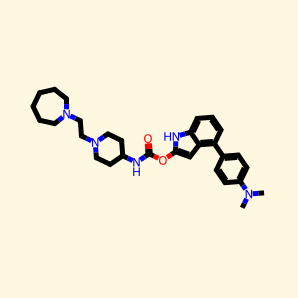 CN(C)c1ccc(-c2cccc3[nH]c(OC(=O)NC4CCN(CCN5CCCCCC5)CC4)cc23)cc1